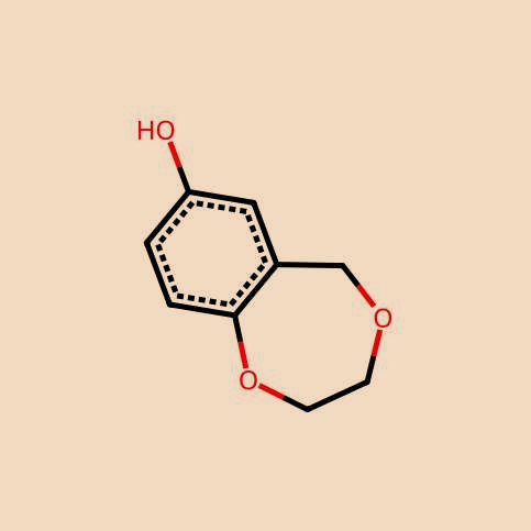 Oc1ccc2c(c1)COCCO2